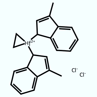 CC1=C[CH]([Hf+2]2([CH]3C=C(C)c4ccccc43)[CH2][CH2]2)c2ccccc21.[Cl-].[Cl-]